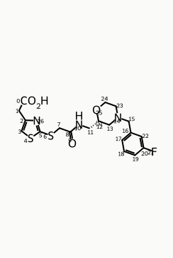 O=C(O)Cc1csc(SCC(=O)NC[C@H]2CN(Cc3cccc(F)c3)CCO2)n1